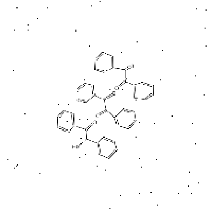 O=C(C(=O)c1ccccc1)c1ccccc1.O=C(C(=O)c1ccccc1)c1ccccc1.O=C(c1ccccc1)C(O)c1ccccc1